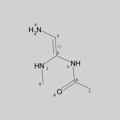 CN/C(=C\N)NC(C)=O